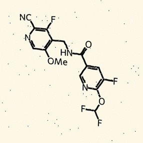 COc1cnc(C#N)c(F)c1CNC(=O)c1cnc(OC(F)F)c(F)c1